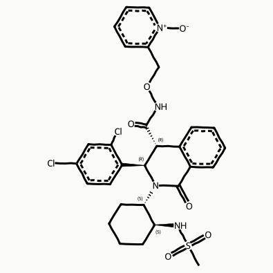 CS(=O)(=O)N[C@H]1CCCC[C@@H]1N1C(=O)c2ccccc2[C@@H](C(=O)NOCc2cccc[n+]2[O-])[C@@H]1c1ccc(Cl)cc1Cl